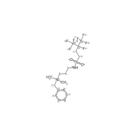 C[N+](C)(CCCNS(=O)(=O)CCC(F)(C(F)(F)F)C(F)(F)F)Cc1ccccc1